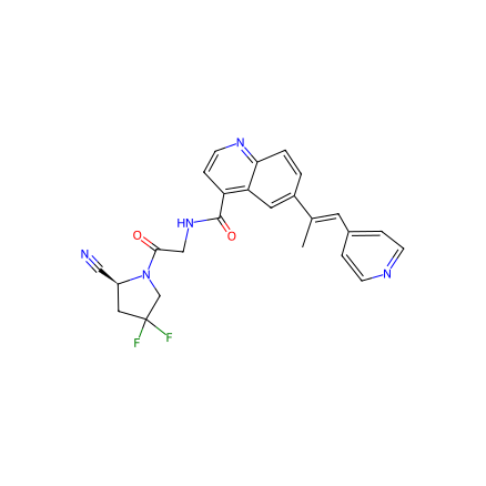 C/C(=C\c1ccncc1)c1ccc2nccc(C(=O)NCC(=O)N3CC(F)(F)C[C@H]3C#N)c2c1